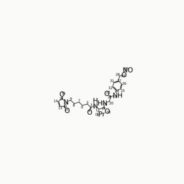 CC(C)C(NC(=O)CCCCCN1C(=O)C=CC1=O)C(=O)NCC(=O)Nc1ccc(CON=O)cc1